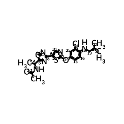 CC(=O)NC(C)c1nc(-c2cnc(Oc3ccc(NCC(C)C)c(Cl)c3)s2)no1